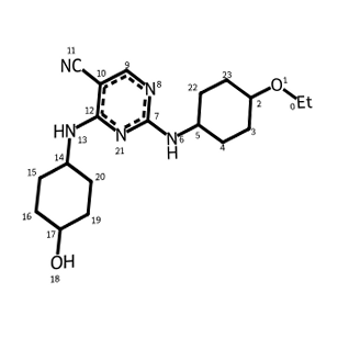 CCOC1CCC(Nc2ncc(C#N)c(NC3CCC(O)CC3)n2)CC1